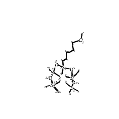 COCCCCC[Si](C)(O[Si](C)(C)O[Si](C)(C)C)O[Si](C)(C)O[Si](C)(C)C